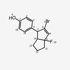 Oc1ccc(C2C(Br)=CC3(F)CCCC23)cc1